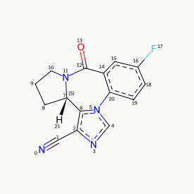 N#Cc1ncn2c1[C@@H]1CCCN1C(=O)c1cc(F)ccc1-2